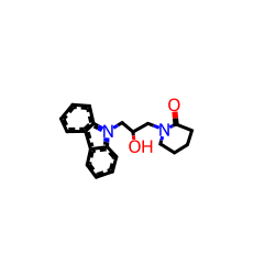 O=C1CCCCN1CC(O)Cn1c2ccccc2c2ccccc21